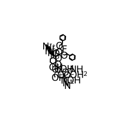 [N-]=[N+]=NC[C@H]1O[C@H](O[C@@H]2C(N=[N+]=[N-])CC[C@H](O)[C@H]2O[C@@H]2O[C@H](CO)[C@@H](O[C@H]3O[C@@H](CN)[C@@H](O)[C@H](O)C3N=[N+]=[N-])[C@H]2O)[C@H](OCc2ccccc2)[C@@H](F)[C@@H]1OCc1ccccc1